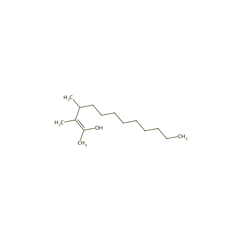 CCCCCCCCCC(C)C(C)=C(C)O